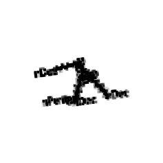 CCCCCCCCCCCCCCCCCC(=O)OCC(COC(=O)CCCCCCCCCCCCCCCCC)OC(=O)CCCCCCCCCCCCCCCCC.CCCCCO